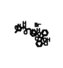 Cc1cc(NC(=O)C[N+]23CCC(CC2)[C@@H](OC(=O)C(O)(c2ccccc2)c2ccccc2Cl)C3)no1.[Br-]